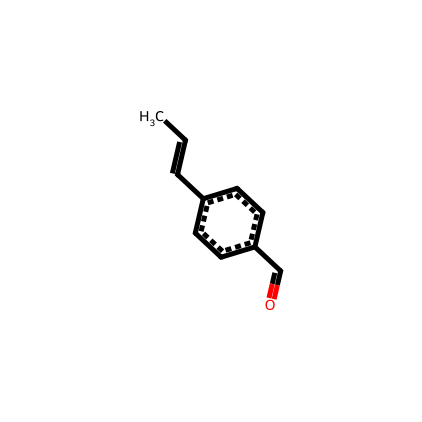 C/C=C/c1ccc(C=O)cc1